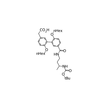 CCCCCCOc1ccc(CC(=O)O)cc1-c1cc(C(=O)NCCC(C)NC(=O)OC(C)(C)C)ccc1OCCCCCC